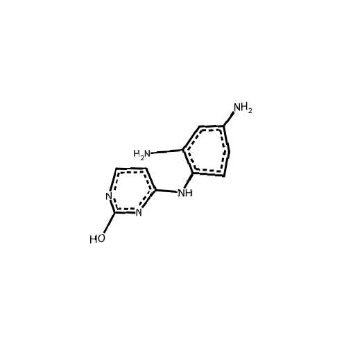 Nc1ccc(Nc2ccnc(O)n2)c(N)c1